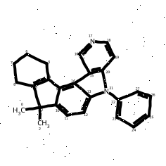 CC1(C)C2=C(CCCC2)c2c1ccc1c2c2cnccc2n1-c1ccccc1